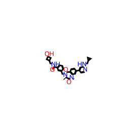 C[C@@H]1C(=O)N(C)c2cc(-c3ccnc(NCC4CC4)c3)ccc2C(=O)N1Cc1cccc(C(=O)NCC2CC(O)C2)c1